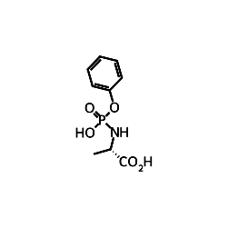 C[C@H](NP(=O)(O)Oc1ccccc1)C(=O)O